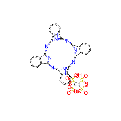 O=[S](=O)(O)[Co]([S](=O)(=O)O)([S](=O)(=O)O)[S](=O)(=O)Oc1cccc2c3nc4nc(nc5[nH]c(nc6nc(nc([nH]3)c12)-c1ccccc1-6)c1ccccc51)-c1ccccc1-4